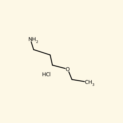 CCOCCCN.Cl